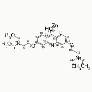 CCN(CC)CCOc1ccc2cc3ccc(OCCN(CC)CC)cc3nc2c1.Cl.[Zn]